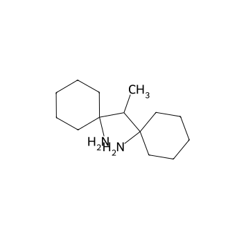 CC(C1(N)CCCCC1)C1(N)CCCCC1